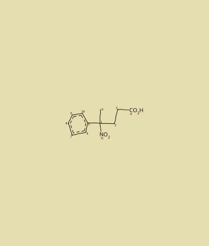 CC(CCC(=O)O)(c1ccccc1)[N+](=O)[O-]